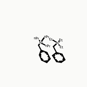 CCC[N+](CCC)(CCC)Cc1ccccc1.CC[N+](CC)(CC)Cc1ccccc1